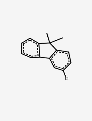 CC1(C)c2ccccc2-c2cc(Cl)ccc21